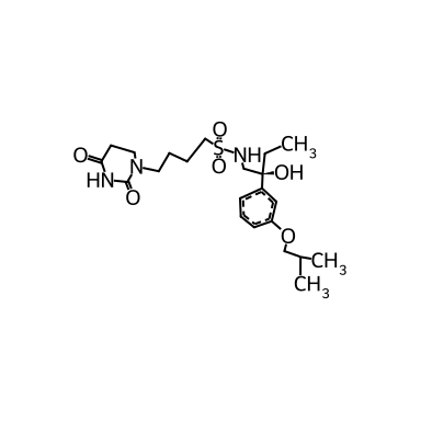 CC[C@@](O)(CNS(=O)(=O)CCCCN1CCC(=O)NC1=O)c1cccc(OCC(C)C)c1